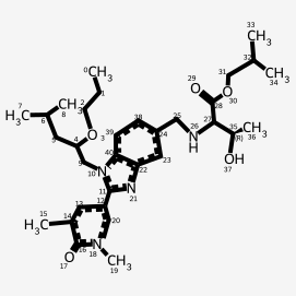 CCCOC(CC(C)C)Cn1c(-c2cc(C)c(=O)n(C)c2)nc2cc(CNC(C(=O)OCC(C)C)[C@@H](C)O)ccc21